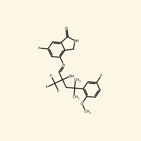 COc1ccc(F)cc1C(C)(C)CC(O)(C=Nc1cc(F)cc2c1CNC2=O)C(F)(F)F